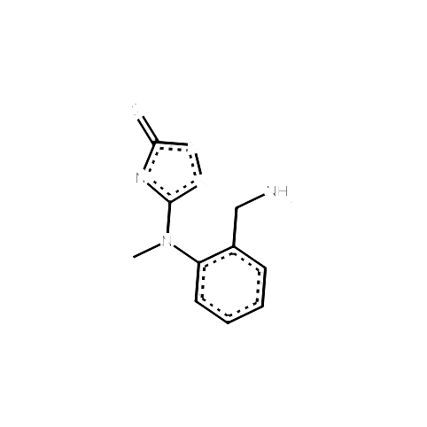 CN(c1nc(=S)ss1)c1ccccc1CN